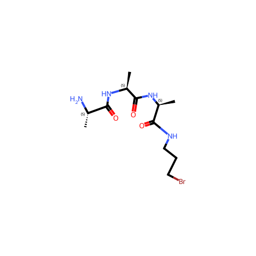 C[C@H](N)C(=O)N[C@@H](C)C(=O)N[C@@H](C)C(=O)NCCCBr